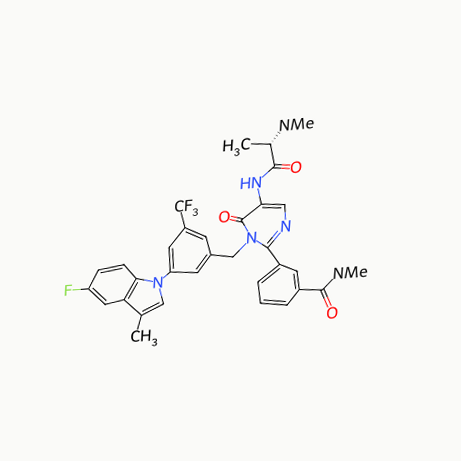 CNC(=O)c1cccc(-c2ncc(NC(=O)[C@H](C)NC)c(=O)n2Cc2cc(-n3cc(C)c4cc(F)ccc43)cc(C(F)(F)F)c2)c1